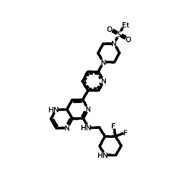 CCS(=O)(=O)N1CCN(c2ccc(C3=CC4NC=CN=C4C(NCC4CNCCC4(F)F)=N3)cn2)CC1